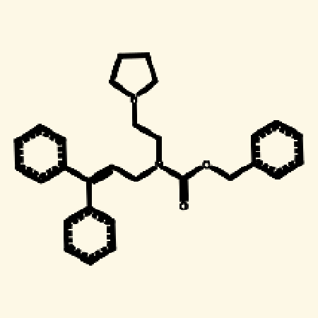 O=C(OCc1ccccc1)N(CC=C(c1ccccc1)c1ccccc1)CCN1CCCC1